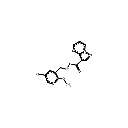 COc1ncc(Cl)cc1CNOC(=O)c1cnn2cccnc12